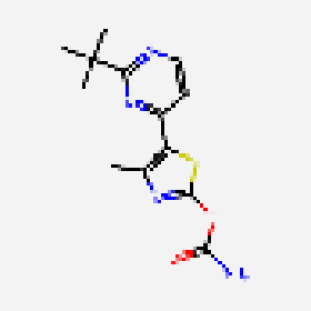 Cc1nc(OC(N)=O)sc1-c1ccnc(C(C)(C)C)n1